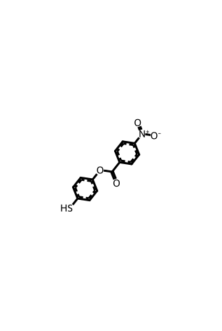 O=C(Oc1ccc(S)cc1)c1ccc([N+](=O)[O-])cc1